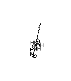 CCCCCCCCCCCCCCCC(=O)NC(CCC(=O)NCCCCC(NC)C(=O)C(C)(C)C)C(=O)O